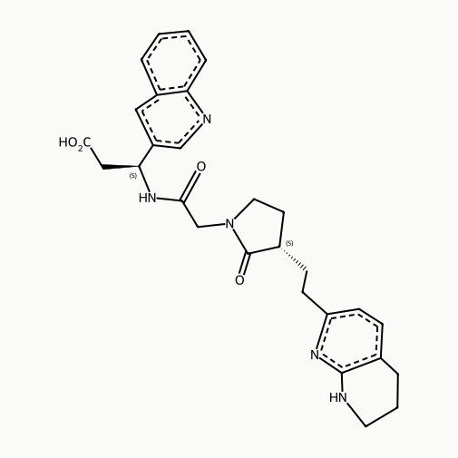 O=C(O)C[C@H](NC(=O)CN1CC[C@H](CCc2ccc3c(n2)NCCC3)C1=O)c1cnc2ccccc2c1